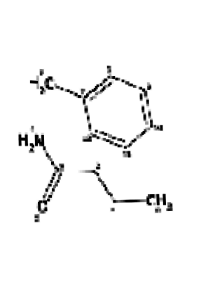 CCCC(N)=O.Cc1ccccc1